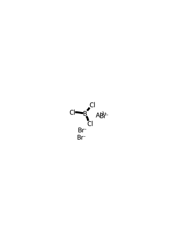 ClB(Cl)Cl.[Al+3].[Br-].[Br-].[Br-]